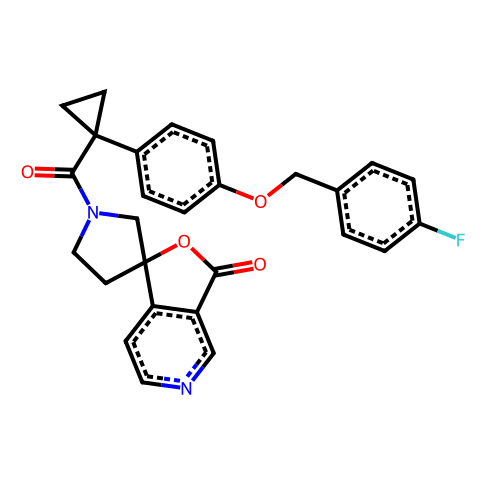 O=C1OC2(CCN(C(=O)C3(c4ccc(OCc5ccc(F)cc5)cc4)CC3)C2)c2ccncc21